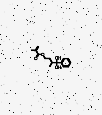 C=C(C)C(=O)OCCC(C)C(O)(O)c1ccccc1